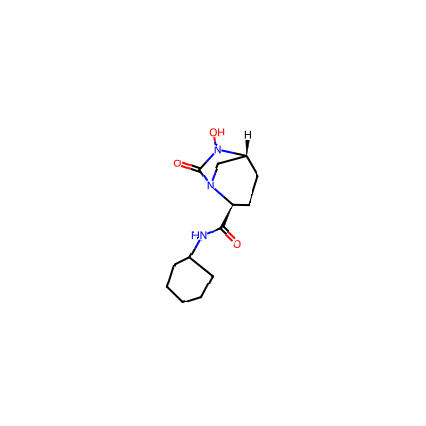 O=C(NC1CCCCC1)[C@@H]1CC[C@@H]2CN1C(=O)N2O